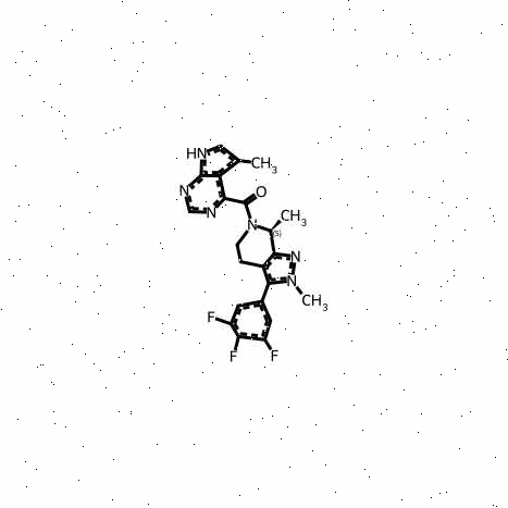 Cc1c[nH]c2ncnc(C(=O)N3CCc4c(nn(C)c4-c4cc(F)c(F)c(F)c4)[C@@H]3C)c12